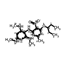 CCC(CC)Oc1nc(C)nc(Nc2c(NC)cc(NC)nc2NC)c1[N+](=O)[O-]